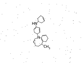 CC1CCCCN(C2C=CC(NC3CC=CCC3)=CC2)C2=C1CCC=C2